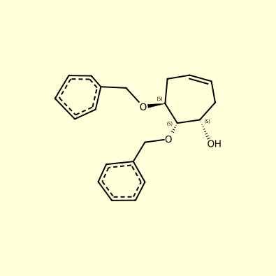 O[C@H]1CC=CC[C@H](OCc2ccccc2)[C@H]1OCc1ccccc1